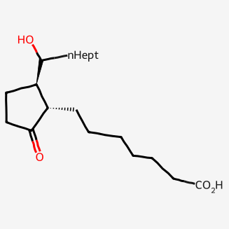 CCCCCCCC(O)[C@@H]1CCC(=O)[C@H]1CCCCCCC(=O)O